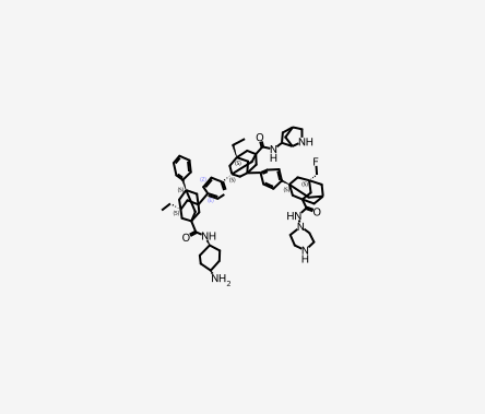 C=C(/C=C\C(=C/C)C12CC3(C(=O)N[C@H]4CC[C@@H](N)CC4)C[C@](CC)(C1)C[C@@](c1ccccc1)(C3)C2)[C@@]12CC3(C(=O)NC4CC5CNC4C5)CC(c4ccc([C@]56CC7CC(C(=O)NN8CCNCC8)(C[C@](CF)(C7)C5)C6)cc4)(C[C@@](CC)(C3)C1)C2